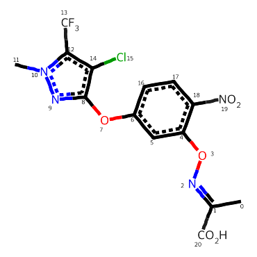 CC(=NOc1cc(Oc2nn(C)c(C(F)(F)F)c2Cl)ccc1[N+](=O)[O-])C(=O)O